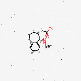 O=C([O-])C[C@H]1CCCc2ccccc2[C@H]1O.[Na+]